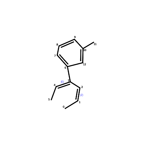 C/C=C\C(=C/C)c1cccc(C)c1